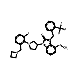 COc1cccc2c1n(Cc1ccccc1C(F)(F)F)c(=O)n2C1CCN(c2c(F)cccc2CN2CCC2)C1